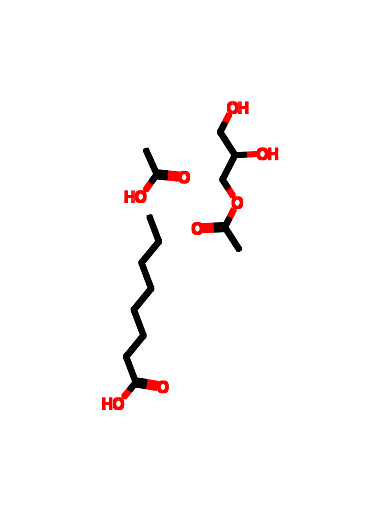 CC(=O)O.CC(=O)OCC(O)CO.CCCCCCCC(=O)O